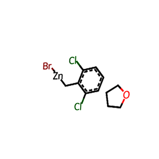 C1CCOC1.Clc1cccc(Cl)c1[CH2][Zn][Br]